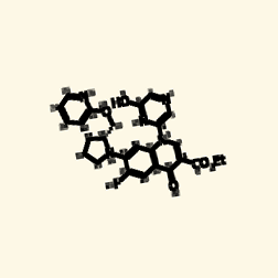 CCOC(=O)c1cn(-c2cncc(O)n2)c2cc(N3CCC[C@@H]3COc3ccccn3)c(F)cc2c1=O